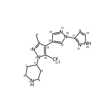 Cc1nn(C2CCNCC2)c(C(F)(F)F)c1-c1cnn(-c2cc[nH]n2)c1